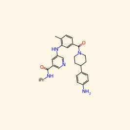 Cc1ccc(C(=O)N2CCC(c3ccc(N)cc3)CC2)cc1Nc1cncc(C(=O)NC(C)C)c1